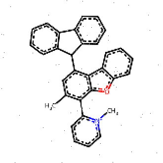 Cc1cc(C2c3ccccc3-c3ccccc32)c2c(oc3ccccc32)c1-c1cccc[n+]1C